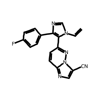 C=Cn1cnc(-c2ccc(F)cc2)c1-c1ccc2ncc(C#N)n2n1